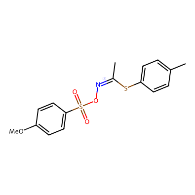 COc1ccc(S(=O)(=O)O/N=C(/C)Sc2ccc(C)cc2)cc1